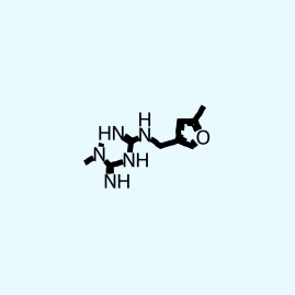 Cc1cc(CNC(=N)NC(=N)N(C)C)co1